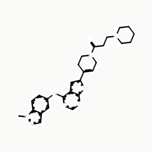 Cn1ncc2cc(Nc3ncnc4[nH]c(C5=CCN(C(=O)CCN6CCCCC6)CC5)cc34)ccc21